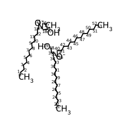 CCCCCCCCCCCCCC[N+]([O-])(CC)CCO.CCCCCCCCCCCCCC[N+]([O-])(CCO)CCCCCCCCCCCCCC